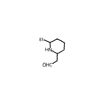 CCC1CCCC(CC=O)N1